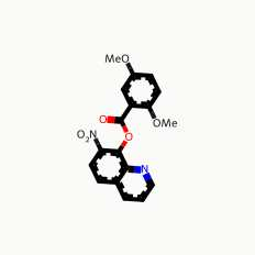 COc1ccc(OC)c(C(=O)Oc2c([N+](=O)[O-])ccc3cccnc23)c1